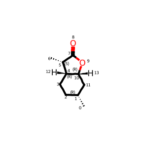 C[C@@H]1CC[C@@H]2[C@H](C)C(=O)O[C@@H]2C1